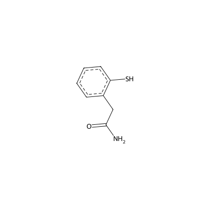 NC(=O)Cc1ccccc1S